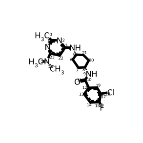 Cc1nc(N[C@H]2CC[C@@H](NC(=O)c3ccc(F)c(Cl)c3)CC2)cc(N(C)C)n1